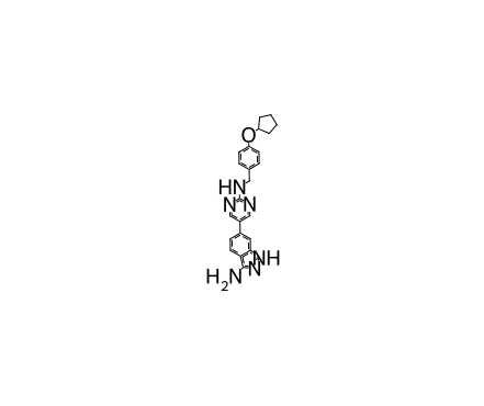 Nc1n[nH]c2cc(-c3cnc(NCc4ccc(OC5CCCC5)cc4)nc3)ccc12